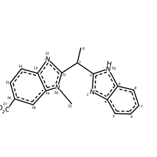 CC(c1nc2ccccc2[nH]1)c1nc2ccc(C(=O)O)cc2n1C